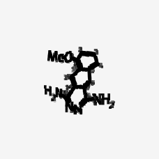 COc1cccc2cc3c(N)nnc(N)c3cc12